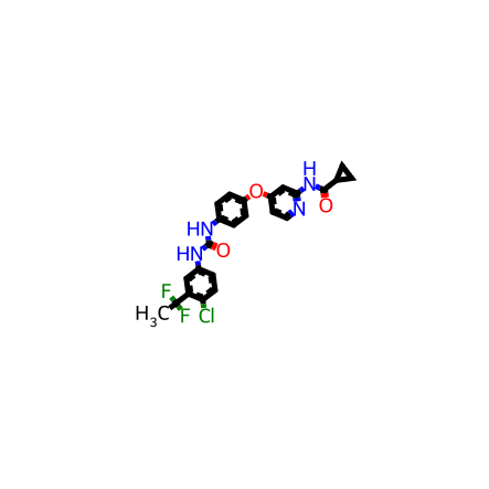 CC(F)(F)c1cc(NC(=O)Nc2ccc(Oc3ccnc(NC(=O)C4CC4)c3)cc2)ccc1Cl